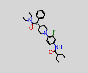 CCC(CC)C(=O)Nc1ccc(N2CCC([C@H](C(=O)N(CC)CC)c3ccccc3)CC2)c(F)c1